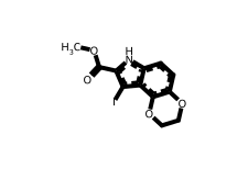 COC(=O)c1[nH]c2ccc3c(c2c1I)OCCO3